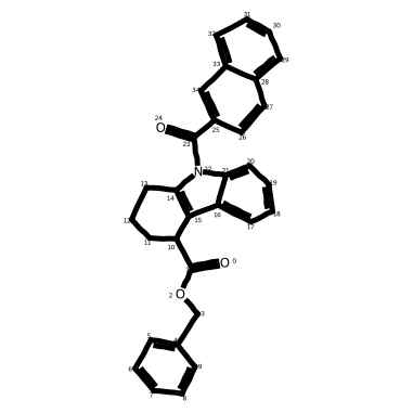 O=C(OCc1ccccc1)C1CCCc2c1c1ccccc1n2C(=O)c1ccc2ccccc2c1